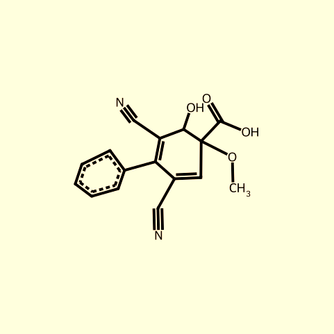 COC1(C(=O)O)C=C(C#N)C(c2ccccc2)=C(C#N)C1O